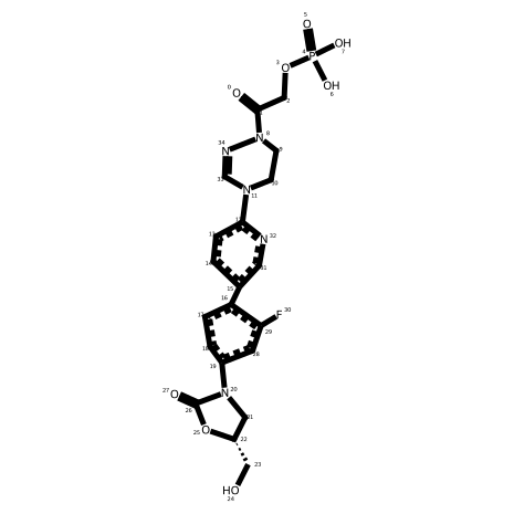 O=C(COP(=O)(O)O)N1CCN(c2ccc(-c3ccc(N4C[C@H](CO)OC4=O)cc3F)cn2)C=N1